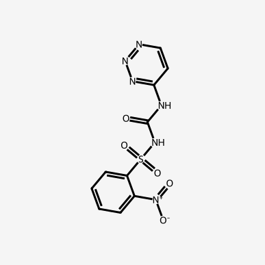 O=C(Nc1ccnnn1)NS(=O)(=O)c1ccccc1[N+](=O)[O-]